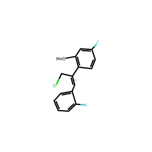 COc1cc(F)ccc1/C(=C/c1ccccc1F)CCl